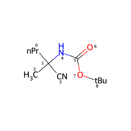 CCCC(C)(C#N)NC(=O)OC(C)(C)C